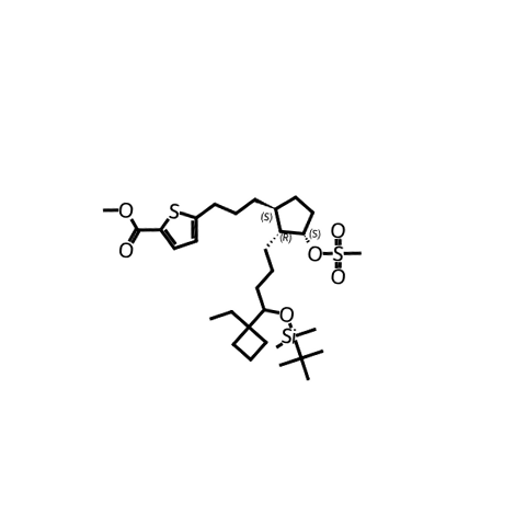 CCC1(C(CCC[C@@H]2[C@@H](CCCc3ccc(C(=O)OC)s3)CC[C@@H]2OS(C)(=O)=O)O[Si](C)(C)C(C)(C)C)CCC1